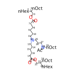 CCCCCCCCC(CCCCCC)COC(=O)CCCCCN(CCCCCC(=O)OCC(CCCCCC)CCCCCCCC)CCCN(CCCCCCCC)C(C)=O